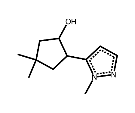 Cn1nccc1C1CC(C)(C)CC1O